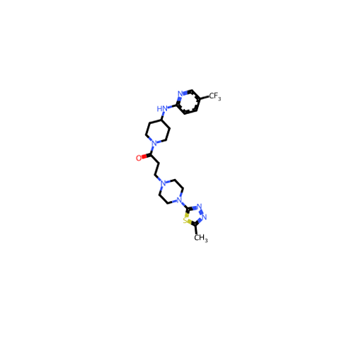 Cc1nnc(N2CCN(CCC(=O)N3CCC(Nc4ccc(C(F)(F)F)cn4)CC3)CC2)s1